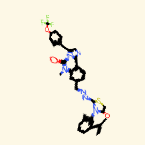 CC(C)c1ccccc1N1C(=O)CS/C1=N\N=C\c1ccc2c(c1)n(C)c(=O)n1c(-c3ccc(OC(F)(F)F)cc3)cnc21